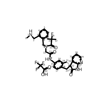 CNCc1ccccc1CN(CC(=O)Nc1ccc2c(c1)C[C@@]1(C2)C(=O)Nc2ncccc21)C(=O)C(C)(C)F.O=C(O)C(F)(F)F